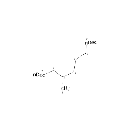 [CH2]CCCCCCCCCCCCC([CH2])CCCCCCCCCCC